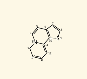 C1=CCN2C=Cc3ccsc3C2=C1